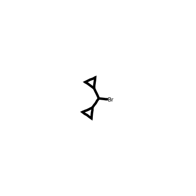 BrC(C1CC1)C1CC1